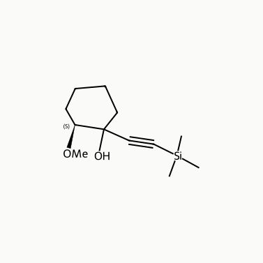 CO[C@H]1CCCCC1(O)C#C[Si](C)(C)C